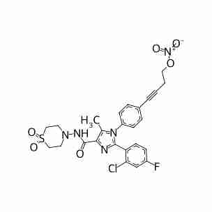 Cc1c(C(=O)NN2CCS(=O)(=O)CC2)nc(-c2ccc(F)cc2Cl)n1-c1ccc(C#CCCO[N+](=O)[O-])cc1